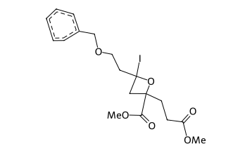 COC(=O)CCC1(C(=O)OC)CC(I)(CCOCc2ccccc2)O1